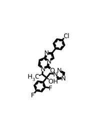 C[C@@H](n1ccc2nc(-c3ccc(Cl)cc3)cn2c1=O)[C@](O)(Cn1cncn1)c1ccc(F)cc1F